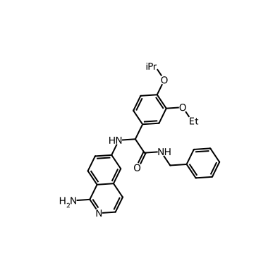 CCOc1cc(C(Nc2ccc3c(N)nccc3c2)C(=O)NCc2ccccc2)ccc1OC(C)C